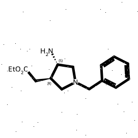 CCOC(=O)C[C@@H]1CN(Cc2ccccc2)C[C@H]1N